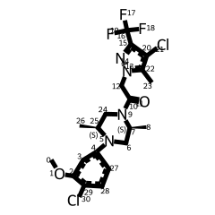 COc1cc(N2C[C@H](C)N(C(=O)Cn3nc(C(F)(F)F)c(Cl)c3C)C[C@@H]2C)ccc1Cl